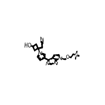 C[Si](C)(C)CCOCn1ccc2c(-c3ccn(C4(CC#N)CC(O)C4)c3)ncnc21